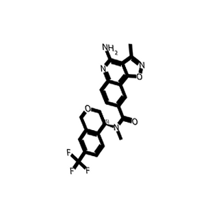 Cc1noc2c1c(N)nc1ccc(C(=O)N(C)[C@@H]3COCc4cc(C(F)(F)F)ccc43)cc12